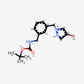 CC(C)(C)OC(=O)NCc1cccc(Cn2cc(Br)cn2)c1